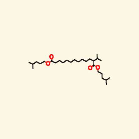 CC(C)CCCOC(=O)CCCCCCCCCCC(C(=O)OCCCC(C)C)C(C)C